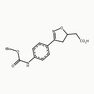 CC(C)(C)OC(=O)Nc1ccc(C2=NOC(CC(=O)O)C2)cc1